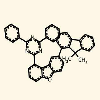 CC1(C)c2ccccc2-c2cccc(-c3ccc4oc5cccc(-c6nc(-c7ccccc7)nc(-c7ccccc7)n6)c5c4c3)c21